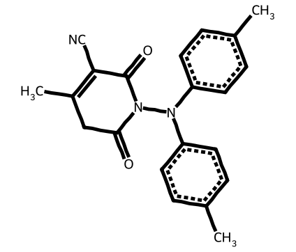 CC1=C(C#N)C(=O)N(N(c2ccc(C)cc2)c2ccc(C)cc2)C(=O)C1